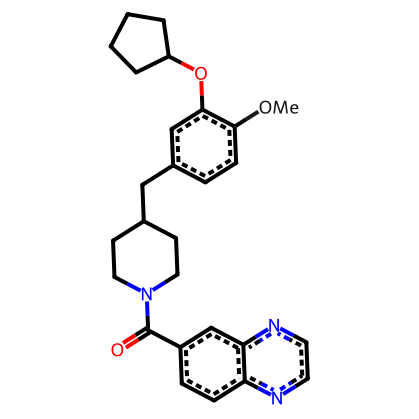 COc1ccc(CC2CCN(C(=O)c3ccc4nccnc4c3)CC2)cc1OC1CCCC1